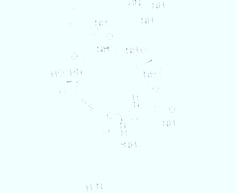 CC1(C)SSCC[C@H](NC(=O)[C@@H](N)CCCCN)C(=O)N[C@@H](CCC(N)=O)C(=O)N[C@H](Cc2ccccc2)C(=O)N[C@@H](CCCNC(=N)N)C(=O)N[C@@H](Cc2c[nH]c3ccccc23)C(=O)N[C@@H]1C(=O)O